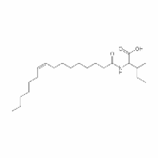 CCCCCC/C=C\CCCCCCCC(=O)NC(C(=O)O)C(C)CC